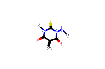 C=C1C(=O)N(CC)C(=S)N(NCC)C1=O